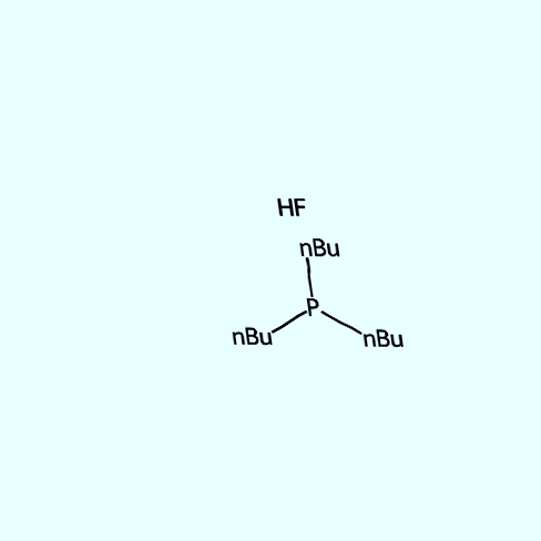 CCCCP(CCCC)CCCC.F